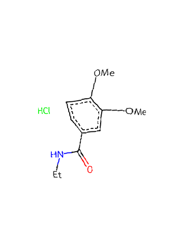 CCNC(=O)c1ccc(OC)c(OC)c1.Cl